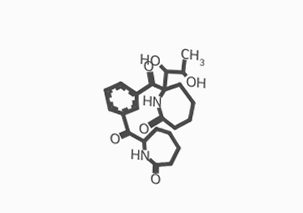 CC(O)C(O)C1(C(=O)c2cccc(C(=O)C3CCCCC(=O)N3)c2)CCCCC(=O)N1